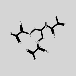 C=C(C)C(=O)NC(COC(=O)C(=C)C)COC(=O)C(=C)C